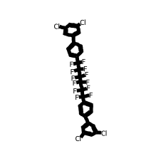 FC(F)(c1ccc(-c2cc(Cl)cc(Cl)c2)cc1)C(F)(F)C(F)(F)C(F)(F)C(F)(F)C(F)(F)c1ccc(-c2cc(Cl)cc(Cl)c2)cc1